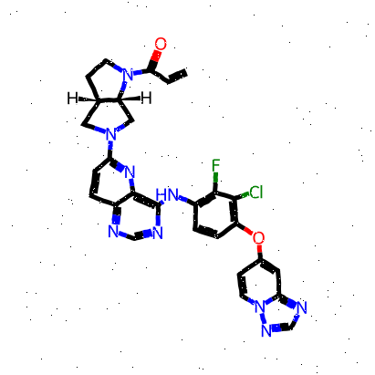 C=CC(=O)N1CC[C@H]2CN(c3ccc4ncnc(Nc5ccc(Oc6ccn7ncnc7c6)c(Cl)c5F)c4n3)C[C@H]21